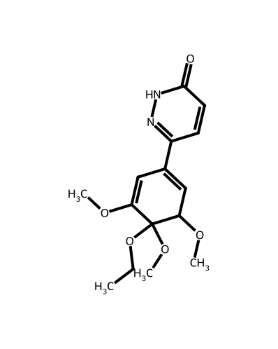 CCOC1(OC)C(OC)=CC(c2ccc(=O)[nH]n2)=CC1OC